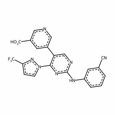 N#Cc1cccc(Nc2ncc(-c3cncc(C(=O)O)c3)c(-n3ccc(C(F)(F)F)n3)n2)c1